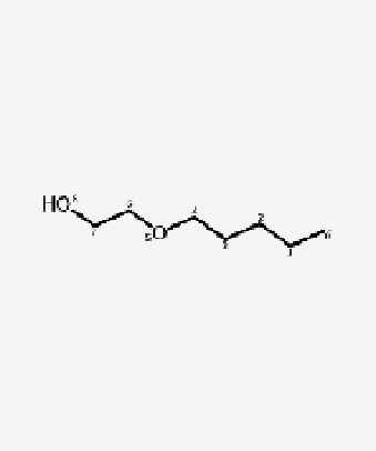 [CH2]CCCCOCCO